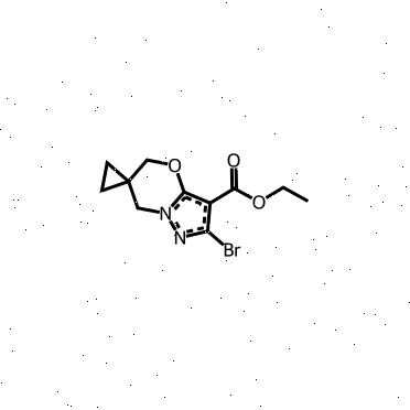 CCOC(=O)c1c(Br)nn2c1OCC1(CC1)C2